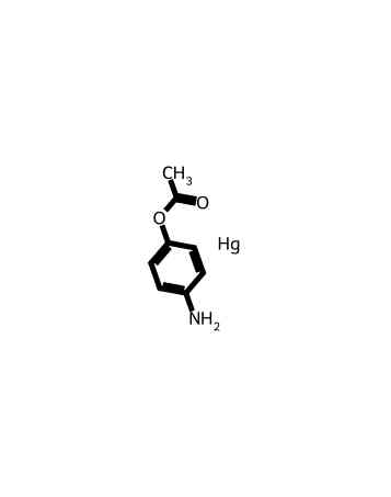 CC(=O)Oc1ccc(N)cc1.[Hg]